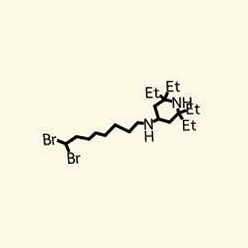 CCC1(CC)CC(NCCCCCCCC(Br)Br)CC(CC)(CC)N1